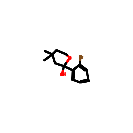 CC1(C)CCOC(O)(c2ccccc2Br)C1